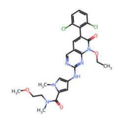 CCOn1c(=O)c(-c2c(Cl)cccc2Cl)cc2cnc(Nc3cc(C(=O)N(C)CCOC)n(C)c3)nc21